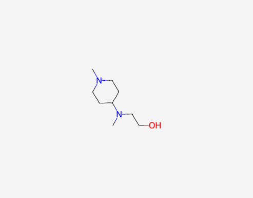 CN1CCC(N(C)CCO)CC1